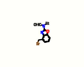 CCN(C=O)c1nc2c(CBr)cccc2o1